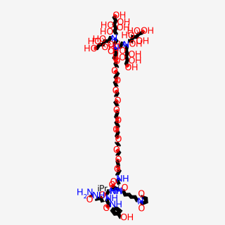 CC(C)[C@H](NC(=O)[C@H](CC(=O)NCCOCCOCCOCCOCCOCCOCCOCCOCCOCCOCCOCCOCCC(=O)N(CCN(C[C@H](O)[C@@H](O)[C@H](O)[C@H](O)CO)C[C@H](O)[C@@H](O)[C@H](O)[C@H](O)CO)CCN(C[C@H](O)[C@@H](O)[C@H](O)[C@H](O)CO)C[C@H](O)[C@@H](O)[C@H](O)[C@H](O)CO)NC(=O)CCCCCN1C(=O)C=CC1=O)C(=O)N[C@@H](CCCNC(N)=O)C(=O)Nc1ccc(CO)cc1